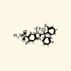 CCn1c(C(O)(c2ccccc2F)c2ccccc2F)nc2cc(F)c(S(N)(=O)=O)cc21